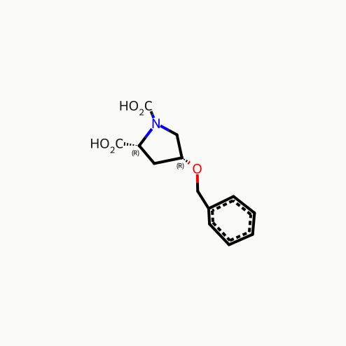 O=C(O)[C@H]1C[C@@H](OCc2ccccc2)CN1C(=O)O